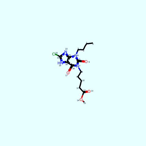 CCCCn1c(=O)n(CCCCC(=O)OC)c(=O)c2[nH]c(Cl)nc21